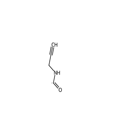 C#CCN[C]=O